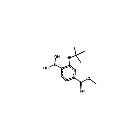 COC(=N)c1ccc(B(O)O)c(BC(C)(C)C)c1